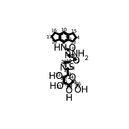 NS(=O)(=NC(=O)Nc1c2c(cc3c1CCC3)CCC2)c1cnc(C2O[C@H](CO)[C@@H](O)[C@H](O)[C@H]2O)s1